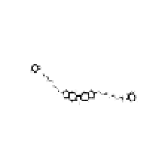 C1=C(CCCCCCCOc2ccccc2)Cc2cc3sc4cc5c(cc4c3cc21)C=C(CCCCCCCOc1ccccc1)C5